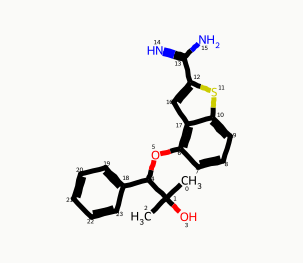 CC(C)(O)C(Oc1cccc2sc(C(=N)N)cc12)c1ccccc1